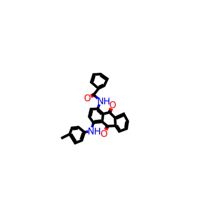 Cc1ccc(Nc2ccc(NC(=O)c3ccccc3)c3c2C(=O)c2ccccc2C3=O)cc1